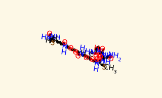 CNC(=O)[C@@H]1CCCN1C(=O)[C@H](CO)NC(=O)[C@H](CCC(N)=O)NC(=O)[C@H](CCSC)NC(=O)COCCOCCNC(=O)COCCOCCNC(=O)CCCC[C@@H]1SC[C@@H]2NC(=O)N[C@@H]21